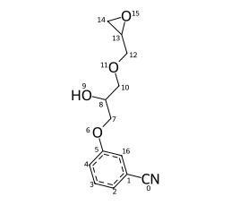 N#Cc1cccc(OCC(O)COCC2CO2)c1